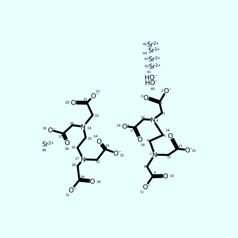 O=C([O-])CN(CCN(CC(=O)[O-])CC(=O)[O-])CC(=O)[O-].O=C([O-])CN(CCN(CC(=O)[O-])CC(=O)[O-])CC(=O)[O-].[OH-].[OH-].[Sr+2].[Sr+2].[Sr+2].[Sr+2].[Sr+2]